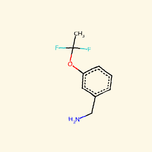 CC(F)(F)Oc1cccc(CN)c1